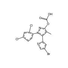 Cc1c(OC(=O)O)nn(-c2ccc(Cl)cc2Cl)c1-c1cc(Br)cs1